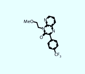 COCCn1c(=O)c(-c2ccc(C(F)(F)F)cc2)nc2cccnc21